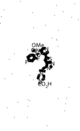 COc1ncc(-c2cc3c(CC(C)(C)N4CCN(C(=O)O)CC4)ncnc3s2)cc1NS(=O)(=O)c1ccc(F)cc1F